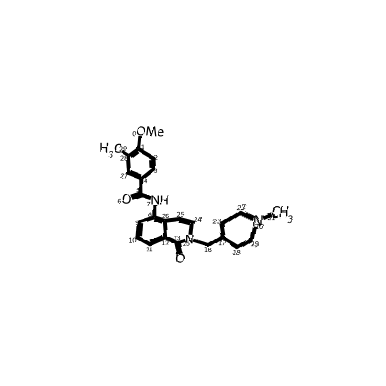 COc1ccc(C(=O)Nc2cccc3c(=O)n(CC4CCN(C)CC4)ccc23)cc1C